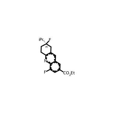 CCOC(=O)c1cc(F)c2nc3c(cc2c1)C[C@@](F)(C(C)C)CC3